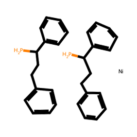 PC(CCc1ccccc1)c1ccccc1.PC(CCc1ccccc1)c1ccccc1.[Ni]